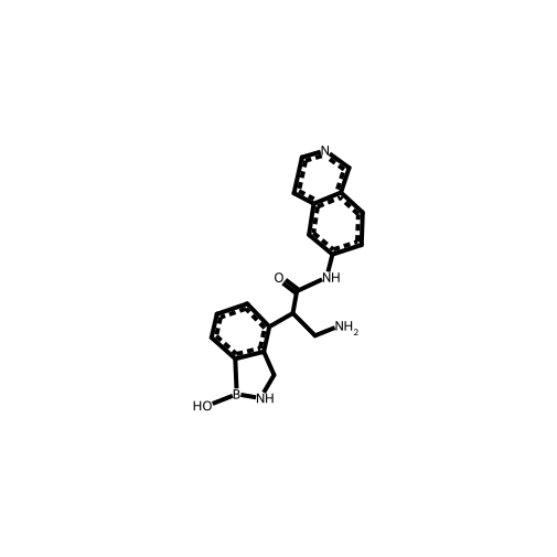 NCC(C(=O)Nc1ccc2cnccc2c1)c1cccc2c1CNB2O